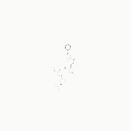 CC[C@H](C)C([C@@H](CC(=O)N1C[C@@H](N)C[C@H]1[C@H](OC)[C@@H](C)C(=O)NCC(=O)c1ccc(OC)c(OC)c1)OC)N(C)C(=O)[C@@H](NC(=O)C(C(C)C)N(C)C)C(C)C